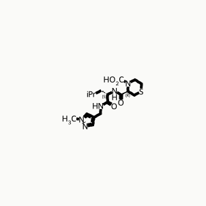 CC(C)C[C@H](NC(=O)[C@@H]1CSCCN1C(=O)O)C(=O)NCc1cnn(C)c1